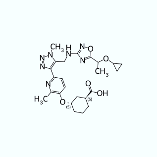 Cc1nc(-c2nnn(C)c2CNc2noc(C(C)OC3CC3)n2)ccc1O[C@H]1CCC[C@H](C(=O)O)C1